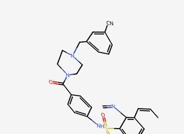 C=Nc1c(/C=C\C)cccc1S(=O)(=O)Nc1ccc(C(=O)N2CCN(Cc3cccc(C#N)c3)CC2)cc1